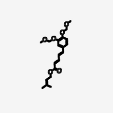 COCOc1ccc(/C=C/C=C/C(=O)OCC=C(C)C)cc1OCOC